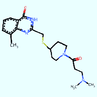 Cc1cccc2c(=O)[nH]c(CSC3CCN(C(=O)CCN(C)C)CC3)nc12